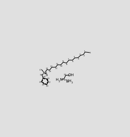 CCCCCCCCCCCCCCCC[N+](C)(C)Cc1ccccc1.N.NCCO